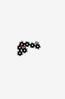 Brc1ccccc1-c1ccc(-c2ccc3c4ccccc4n(-c4ccccc4-c4ccccc4-c4ccccc4)c3c2)cc1